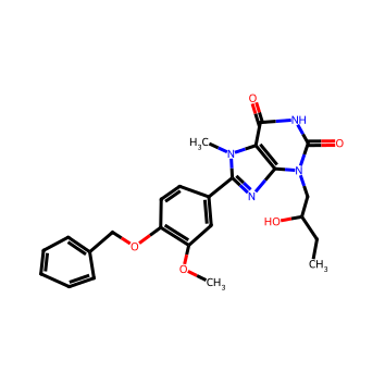 CCC(O)Cn1c(=O)[nH]c(=O)c2c1nc(-c1ccc(OCc3ccccc3)c(OC)c1)n2C